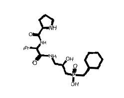 CC(C)C(NC(=O)C1CCCN1)C(=O)NCC(O)CP(=O)(O)CC1CCCCC1